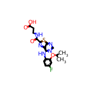 CC(C)Oc1cc(F)ccc1Nc1ncnc2sc(C(=O)NCCC(=O)O)nc12